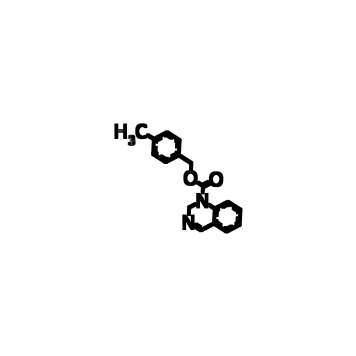 Cc1ccc(COC(=O)N2CN=Cc3ccccc32)cc1